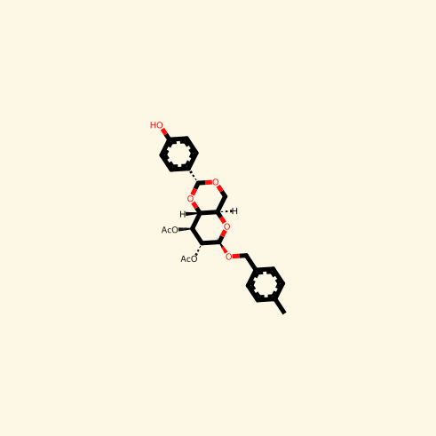 CC(=O)O[C@@H]1[C@@H](OC(C)=O)[C@H](OCc2ccc(C)cc2)O[C@@H]2CO[C@@H](c3ccc(O)cc3)O[C@@H]12